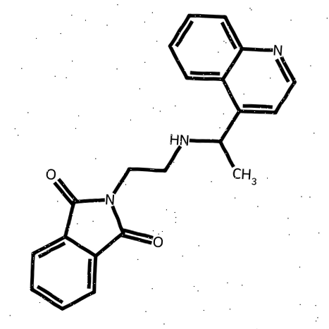 CC(NCCN1C(=O)c2ccccc2C1=O)c1ccnc2ccccc12